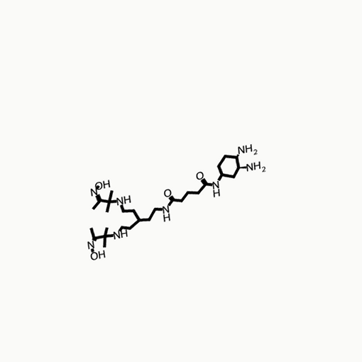 C/C(=N/O)C(C)(C)NCCC(CCNC(=O)CCCC(=O)NC1CC[C@@H](N)[C@@H](N)C1)CCNC(C)(C)/C(C)=N\O